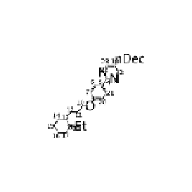 CCCCCCCCCCc1cnc(-c2ccc(OCCCC3CCCCC3CC)cc2)nc1